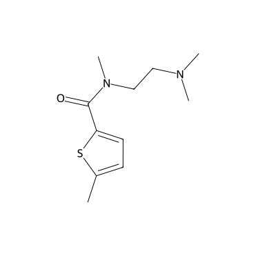 Cc1ccc(C(=O)N(C)CCN(C)C)s1